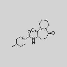 C[C@H]1CC=C(C(=O)NC2CCC(=O)N3CCCCN3C2=O)CC1